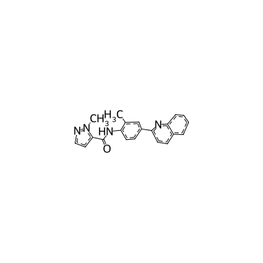 Cc1cc(-c2ccc3ccccc3n2)ccc1NC(=O)c1ccnn1C